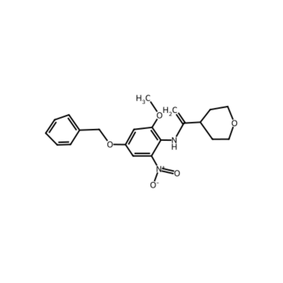 C=C(Nc1c(OC)cc(OCc2ccccc2)cc1[N+](=O)[O-])C1CCOCC1